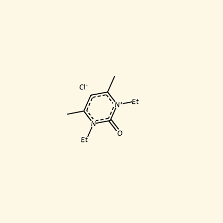 CCn1c(C)cc(C)[n+](CC)c1=O.[Cl-]